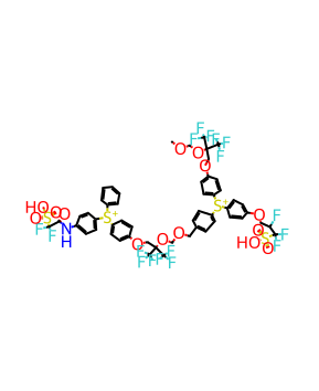 COCOC(COc1ccc([S+](c2ccc(COCOC(COc3ccc([S+](c4ccccc4)c4ccc(NC(=O)C(F)(F)S(=O)(=O)O)cc4)cc3)(C(F)(F)F)C(F)(F)F)cc2)c2ccc(OCC(F)C(F)(F)S(=O)(=O)O)cc2)cc1)(C(F)(F)F)C(F)(F)F